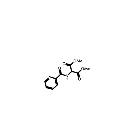 COC(=O)C(NC(=O)c1ccccn1)C(=O)OC